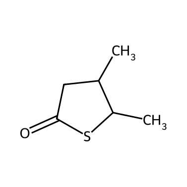 CC1CC(=O)SC1C